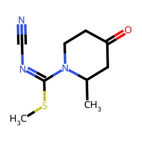 CS/C(=N/C#N)N1CCC(=O)CC1C